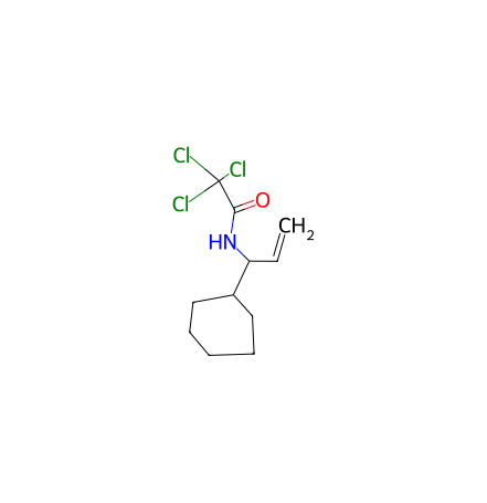 C=CC(NC(=O)C(Cl)(Cl)Cl)C1CCCCC1